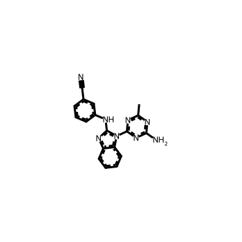 Cc1nc(N)nc(-n2c(Nc3cccc(C#N)c3)nc3ccccc32)n1